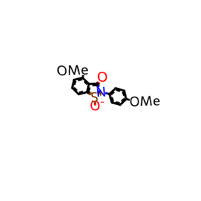 COc1ccc(-n2c(=O)c3c(OC)cccc3[s+]2[O-])cc1